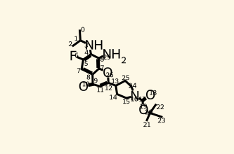 CC(C)Nc1c(F)cc2c(=O)cc(C3CCN(C(=O)OC(C)(C)C)CC3)oc2c1N